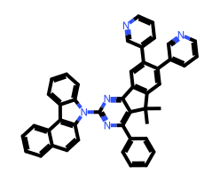 CC1(C)c2cc(-c3cccnc3)c(-c3cccnc3)cc2-c2nc(-n3c4ccccc4c4c5ccccc5ccc43)nc(-c3ccccc3)c21